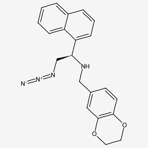 [N-]=[N+]=NC[C@H](NCc1ccc2c(c1)OCCO2)c1cccc2ccccc12